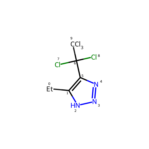 CCc1[nH]nnc1C(Cl)(Cl)C(Cl)(Cl)Cl